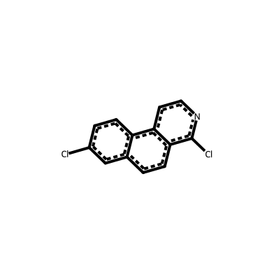 Clc1ccc2c(ccc3c(Cl)nccc32)c1